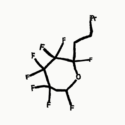 CC(C)CCC1(F)OC(F)C(F)(F)C(F)(F)C1(F)F